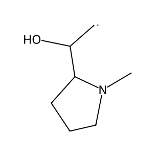 [CH2]C(O)C1CCCN1C